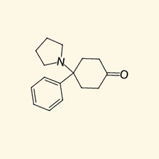 O=C1CCC(c2ccccc2)(N2CCCC2)CC1